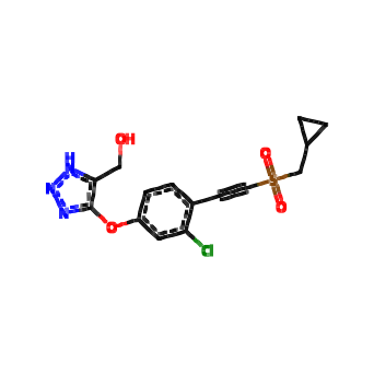 O=S(=O)(C#Cc1ccc(Oc2nn[nH]c2CO)cc1Cl)CC1CC1